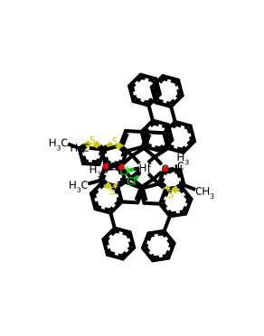 Cc1ccc(C2=Cc3c(-c4ccccc4)cccc3[C]23[GeH]([CH3])[C]2(C(c4ccc(C)s4)=Cc4c(-c5ccccc5)cccc42)[Hf]32([Cl])([Cl])[C]3(C(c4ccc(C)s4)=Cc4c(-c5ccccc5)cccc43)[GeH]([CH3])[C]23C(c2ccc(C)s2)=Cc2c(-c4ccccc4)cccc23)s1